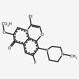 CCC1=COc2c(N3CCN(C)CC3)c(F)cc3c(=O)c(OC(=O)O)cn1c23